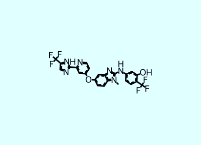 Cn1c(Nc2ccc(C(F)(F)F)c(O)c2)nc2cc(Oc3ccnc(-c4ncc(C(F)(F)F)[nH]4)c3)ccc21